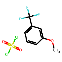 COc1cccc(C(F)(F)F)c1.O=S(=O)(Cl)Cl